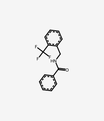 O=C(NCc1ccccc1C(F)(F)F)c1ccccc1